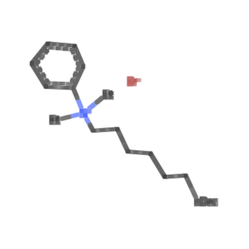 CCCCCCCCCCCCCCCC[N+](CC)(CC)c1ccccc1.[Br-]